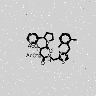 CC(=O)O[C@@H](C(=O)NCc1nc(Cc2c(C)cccc2C)cs1)[C@@H](OC(C)=O)C(=O)N1CCCC1c1cccnc1